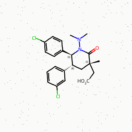 CN(C)N1C(=O)[C@](C)(CC(=O)O)C[C@H](c2cccc(Cl)c2)[C@H]1c1ccc(Cl)cc1